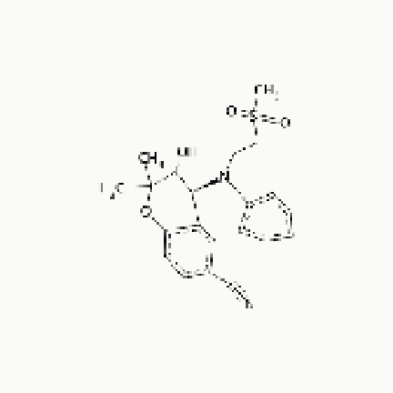 CC1(C)Oc2ccc(C#N)cc2[C@H](N(CCS(C)(=O)=O)c2ccccc2)[C@H]1O